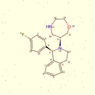 Fc1ccc([C@@H]2c3ccccc3CCN2[C@H]2CNCCOC2)cc1